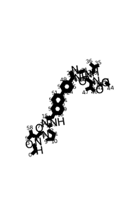 CCC(=O)NC(C(=O)N1CCC[C@H]1c1ncc(-c2ccc3cc(-c4ccc(-c5cnc(CN(CC(C)C)C(=O)[C@@H](NC(=O)OC)C(C)C)[nH]5)cc4)ccc3c2)[nH]1)C(C)C